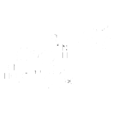 O=C(O)COc1c(-c2cccc(Cl)c2)cc(C(=O)NCCCc2ccccc2)cc1-c1cccc(Cl)c1